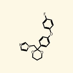 Fc1ccc(Oc2ccc(C3(Cn4ccnc4)OCCCO3)cc2)cc1